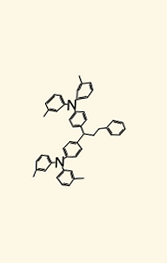 Cc1cccc(N(c2ccc(C(CCc3ccccc3)c3ccc(N(c4cccc(C)c4)c4cccc(C)c4)cc3)cc2)c2cccc(C)c2)c1